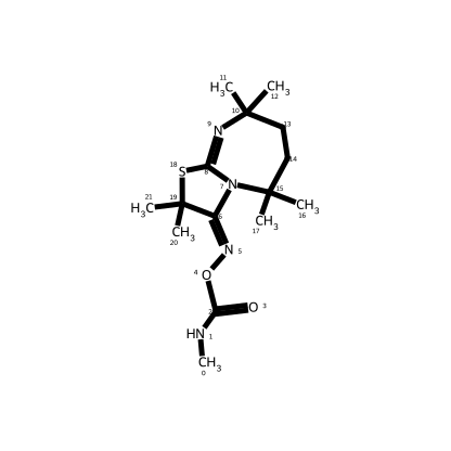 CNC(=O)ON=C1N2C(=NC(C)(C)CCC2(C)C)SC1(C)C